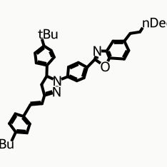 CCCCCCCCCCCCc1ccc2oc(-c3ccc(N4N=C(C=Cc5ccc(C(C)(C)C)cc5)CC4c4ccc(C(C)(C)C)cc4)cc3)nc2c1